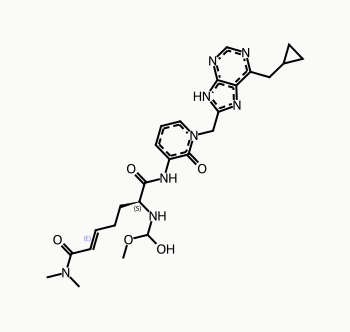 COC(O)N[C@@H](CC/C=C/C(=O)N(C)C)C(=O)Nc1cccn(Cc2nc3c(CC4CC4)ncnc3[nH]2)c1=O